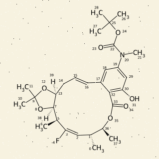 C[C@@H]1/C=C(/F)[C@@H](C)[C@H]2OC(C)(C)O[C@H]2C/C=C/c2cc(N(C)C(=O)OC(C)(C)C)cc(O)c2C(=O)O[C@H]1C